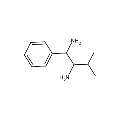 CC(C)C(N)C(N)c1ccccc1